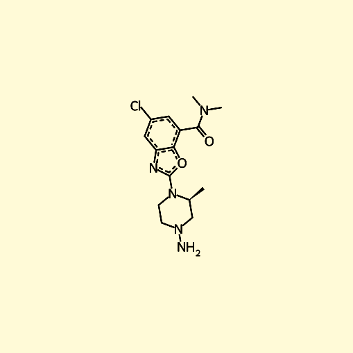 C[C@H]1CN(N)CCN1c1nc2cc(Cl)cc(C(=O)N(C)C)c2o1